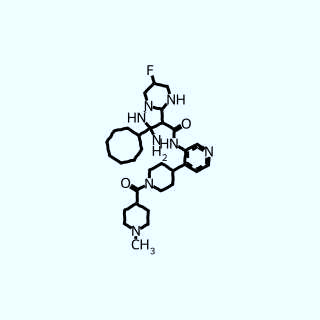 CN1CCC(C(=O)N2CCC(c3ccncc3NC(=O)C3C4NCC(F)CN4NC3(N)C3CCCCCCC3)CC2)CC1